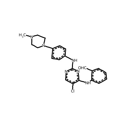 CN1CCN(c2ccc(Nc3ncc(Cl)c(Nc4ccccc4C=O)n3)cc2)CC1